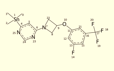 [CH3][Sn]([CH3])([CH3])[c]1cc(N2CC(Oc3cc(F)cc(C(F)(F)F)c3)C2)ncn1